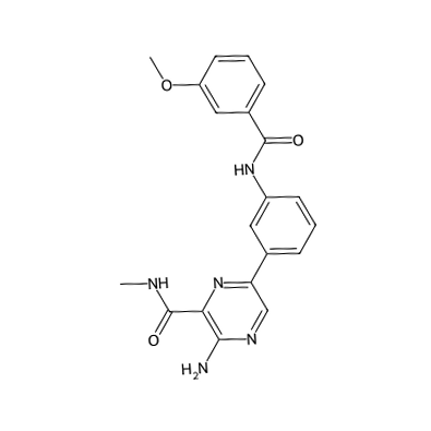 CNC(=O)c1nc(-c2cccc(NC(=O)c3cccc(OC)c3)c2)cnc1N